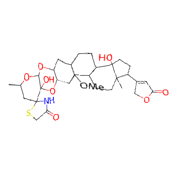 COC12CC3OC4(O)C(OC(C)CC45NC(=O)CS5)OC3CC1CCC1C2CCC2(C)C(C3=CC(=O)OC3)CCC12O